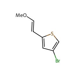 COC=Cc1cc(Br)cs1